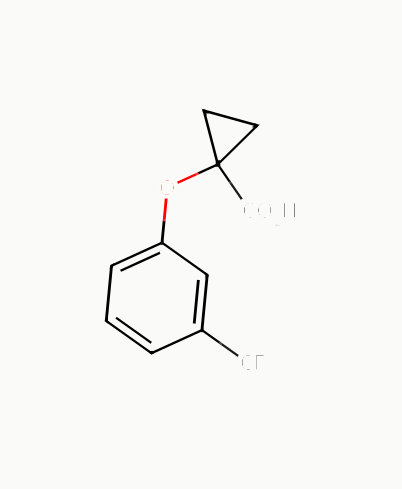 O=C(O)C1(Oc2cccc(C(F)(F)F)c2)CC1